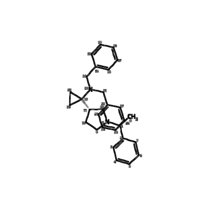 CC(c1ccccc1)N1CC[C@H](C2(N(Cc3ccccc3)Cc3ccccc3)CC2)C1